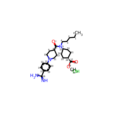 CCCCCN(C(=O)C1CCN(c2ccc(C(=N)N)cc2)CC1)[C@H]1CC[C@H](C(=O)OC)CC1.Cl